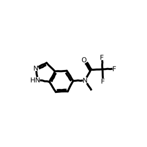 CN(C(=O)C(F)(F)F)c1ccc2[nH]ncc2c1